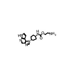 NCCOC(=O)N[C@H]1CC[C@H](n2cnc3cnc4[nH]ccc4c32)CC1